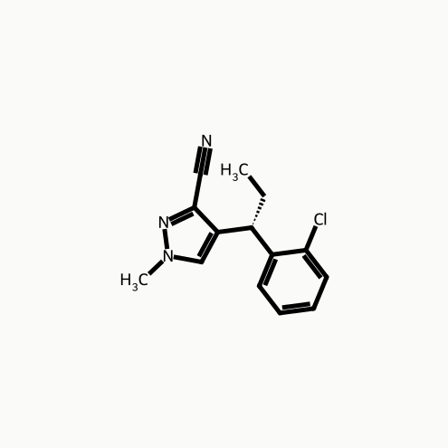 CC[C@H](c1ccccc1Cl)c1cn(C)nc1C#N